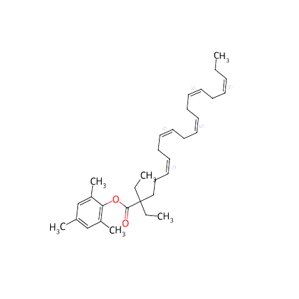 CC/C=C\C/C=C\C/C=C\C/C=C\C/C=C\CCC(CC)(CC)C(=O)Oc1c(C)cc(C)cc1C